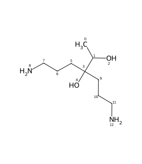 CC(O)C(O)(CCCN)CCCN